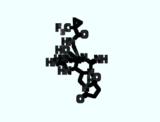 N=C1NC2C(CN3C(=O)CCC3=O)NC(=N)N3C[C@H](NC(=O)C4(C(F)(F)F)CC4)C(O)(O)C23N1